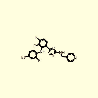 CCc1ccc(Nc2c(-c3nnc(NCc4ccncc4)o3)ccc(F)c2F)c(F)c1